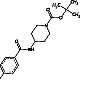 CC(C)(C)OC(=O)N1CCC(NC(=O)c2ccc(F)cc2)CC1